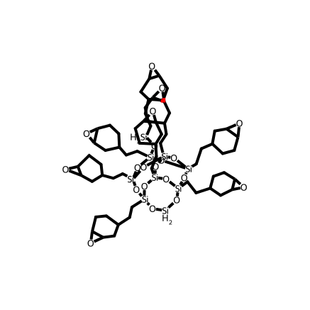 C(CC1CCC2OC2C1)[SiH2]O[Si]1(CCC2CCC3OC3C2)O[Si]2(CCC3CCC4OC4C3)O[Si]3(CCC4CCC5OC5C4)O[SiH2]O[Si]4(CCC5CCC6OC6C5)O[Si](CCC5CCC6OC6C5)(O1)O[Si](CCC1CCC5OC5C1)(O2)O[Si](CCC1CCC2OC2C1)(O3)O4